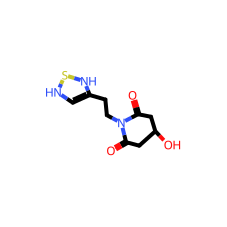 O=C1CC(O)CC(=O)N1CCC1=CNSN1